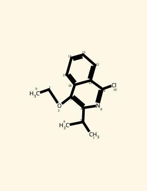 CCOc1c(C(C)C)nc(Cl)c2ccccc12